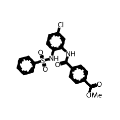 COC(=O)c1ccc(C(=O)Nc2cc(Cl)ccc2NS(=O)(=O)c2ccccc2)cc1